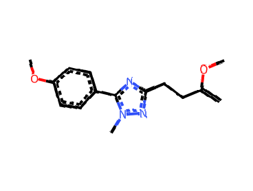 C=C(CCc1nc(-c2ccc(OC)cc2)n(C)n1)OC